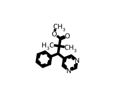 COC(=O)C(C)(C)C(c1ccccc1)c1cncnc1